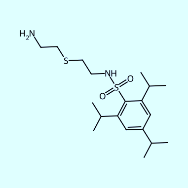 CC(C)c1cc(C(C)C)c(S(=O)(=O)NCCSCCN)c(C(C)C)c1